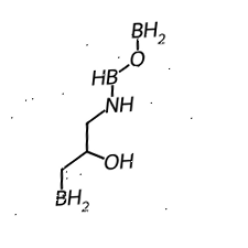 BCC(O)CNBOB